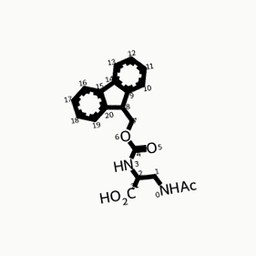 CC(=O)NCC(NC(=O)OCC1c2ccccc2-c2ccccc21)C(=O)O